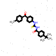 Cc1ccc(C(=O)c2ccc(NC(=S)NC(=O)c3ccc(C(C)(C)C)cc3)cc2)cc1